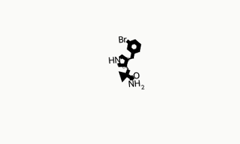 NC(=O)C1(C[C@@H]2CNC[C@H]2Cc2cccc(Br)c2)CC1